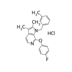 Cc1cccc(Cn2c(C)c(C)c3ccnc(Oc4ccc(F)cc4)c32)c1.Cl